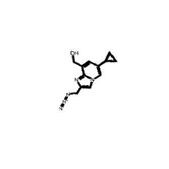 [N-]=[N+]=NCc1cn2cc(C3CC3)cc(CO)c2n1